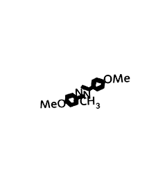 COc1ccc(C2=NC(C)(c3ccc(OC)cc3)N=C2)cc1